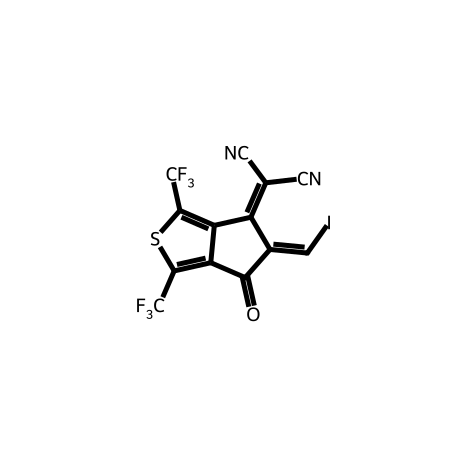 N#CC(C#N)=C1/C(=C\I)C(=O)c2c(C(F)(F)F)sc(C(F)(F)F)c21